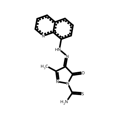 CC1=NN(C(N)=S)C(=O)C1=NNc1cccc2cccnc12